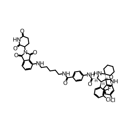 O=C1CCC(N2C(=O)c3cccc(NCCCCCNC(=O)c4ccc(NC(=O)[C@@H]5NC6(CCCCC6)[C@@]6(C(=O)Nc7cc(Cl)ccc76)[C@H]5c5cccc(Cl)c5F)cc4)c3C2=O)C(=O)N1